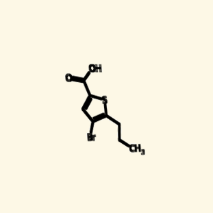 CCCc1sc(C(=O)O)cc1Br